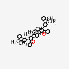 CC1(C)c2ccccc2-c2cc(-c3cc4c(c5oc6ccccc6c35)-c3ccc5c(c3C4(C)C)C(C)(C)c3cc(-c4ccc6c(c4)-c4ccccc4C6(C)C)c4c(oc6ccccc64)c3-5)ccc21